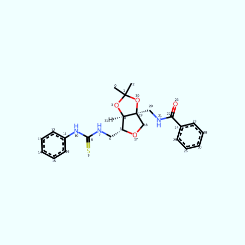 CC1(C)O[C@@H]2[C@@H](CNC(=S)Nc3ccccc3)OC[C@]2(CNC(=O)c2ccccc2)O1